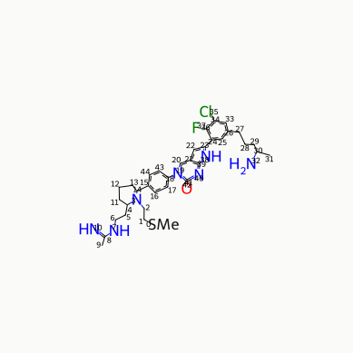 CSCCN1C(CCNC(C)=N)CCCC1c1ccc(-n2cc3cc(-c4cc(CCCC(C)N)cc(Cl)c4F)[nH]c3nc2=O)cc1